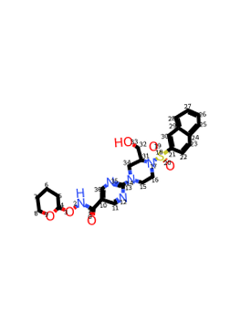 O=C(NOC1CCCCO1)c1cnc(N2CCN(S(=O)(=O)c3ccc4ccccc4c3)C(CO)C2)nc1